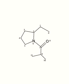 CCC1CCCN1C(=O)C(C)C